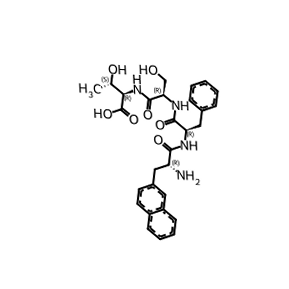 C[C@H](O)[C@@H](NC(=O)[C@@H](CO)NC(=O)[C@@H](Cc1ccccc1)NC(=O)[C@H](N)Cc1ccc2ccccc2c1)C(=O)O